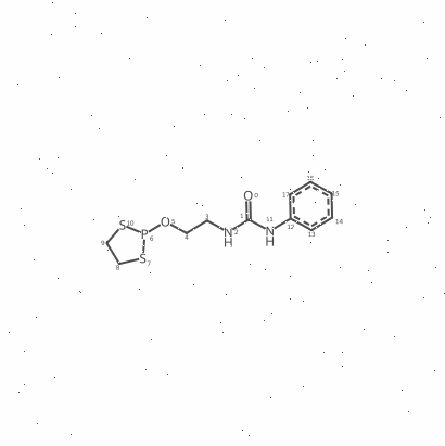 O=C(NCCOP1SCCS1)Nc1ccccc1